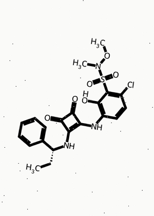 CC[C@@H](Nc1c(Nc2ccc(Cl)c(S(=O)(=O)N(C)OC)c2O)c(=O)c1=O)c1ccccc1